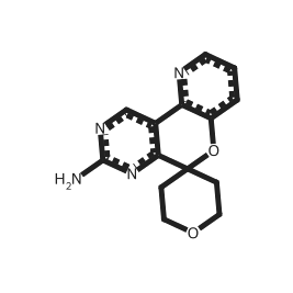 Nc1ncc2c(n1)C1(CCOCC1)Oc1cccnc1-2